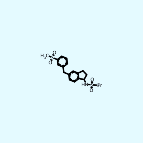 CC(C)S(=O)(=O)NC1CCc2cc(Cc3cccc(S(C)(=O)=O)c3)ccc21